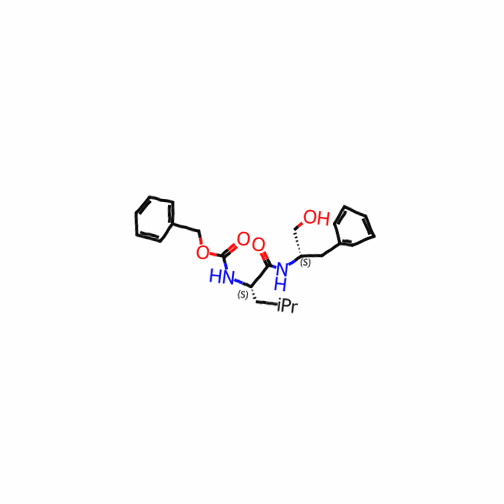 CC(C)C[C@H](NC(=O)OCc1ccccc1)C(=O)N[C@H](CO)Cc1ccccc1